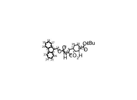 CC(C)(C)OC(=O)N1CCC(CC(NC(=O)OCC2c3ccccc3-c3ccccc32)C(=O)O)CC1